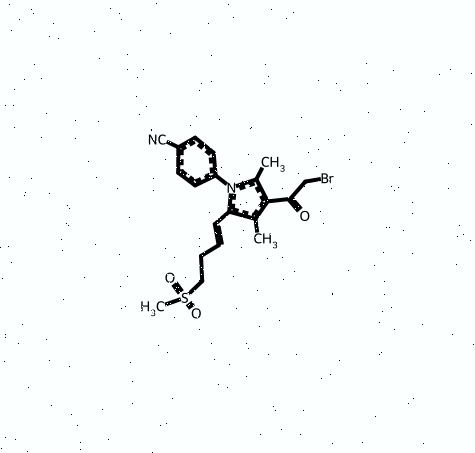 Cc1c(C(=O)CBr)c(C)n(-c2ccc(C#N)cc2)c1C=CCCS(C)(=O)=O